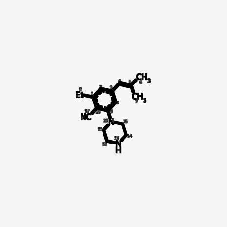 CCc1cc(C=C(C)C)cc(N2CCNCC2)c1C#N